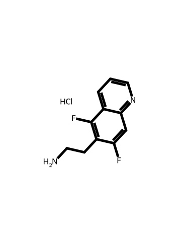 Cl.NCCc1c(F)cc2ncccc2c1F